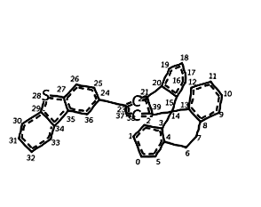 c1ccc2c(c1)CCc1ccccc1C21c2ccccc2-c2cc(-c3ccc4sc5ccccc5c4c3)ccc21